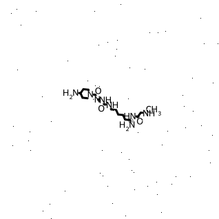 CNCC(=O)N[C@H](N)CCCCCNC(=O)N[N]C(=O)N1CCC(N)CC1